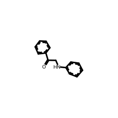 O=C(CNc1[c]cccc1)c1ccccc1